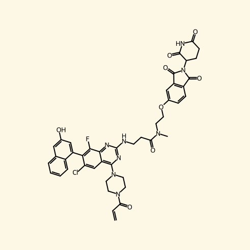 C=CC(=O)N1CCN(c2nc(NCCC(=O)N(C)CCOc3ccc4c(c3)C(=O)N(C3CCC(=O)NC3=O)C4=O)nc3c(F)c(-c4cc(O)cc5ccccc45)c(Cl)cc23)CC1